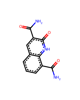 NC(=O)c1cc2cccc(C(N)=O)c2[nH]c1=O